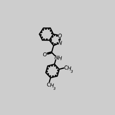 Cc1ccc(NC(=O)c2noc3ccccc23)c(C)c1